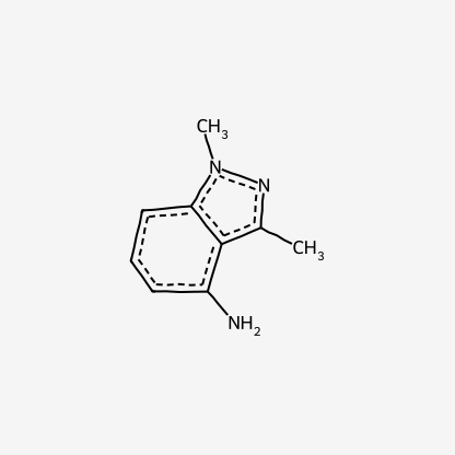 Cc1nn(C)c2cccc(N)c12